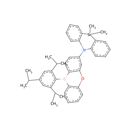 CC(C)c1cc(C(C)C)c(B2c3ccccc3Oc3cc(N4c5ccccc5[Si](C)(C)c5ccccc54)ccc32)c(C(C)C)c1